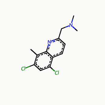 Cc1c(Cl)cc(Cl)c2ccc(CN(C)C)nc12